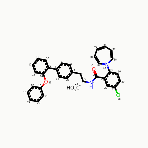 O=C(N[C@@H](Cc1ccc(-c2ccccc2Oc2ccccc2)cc1)C(=O)O)c1cc(Cl)ccc1N1C=CC=CC=C1